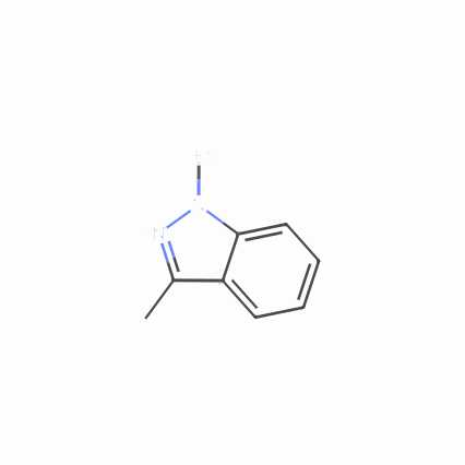 CCn1nc(C)c2ccccc21